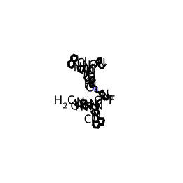 C=CC(=O)N1CC[C@H]2[C@@H]1CCN2c1nc(OC[C@@]23CC(/C=C/C(=O)N4CC[C@H]5[C@H]4CCN5c4nc(OCC56CCCN5CCC6)nc5c4CCN(c4cccc6cccc(Cl)c46)C5)CN2C[C@H](F)C3)nc2c1CCN(c1cccc3cccc(Cl)c13)C2